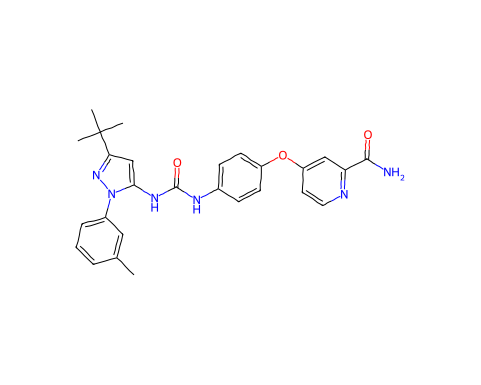 Cc1cccc(-n2nc(C(C)(C)C)cc2NC(=O)Nc2ccc(Oc3ccnc(C(N)=O)c3)cc2)c1